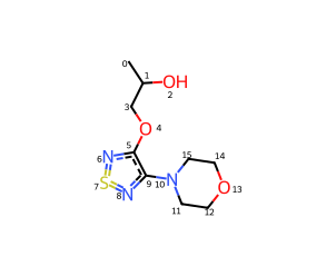 CC(O)COc1nsnc1N1CCOCC1